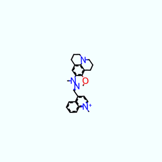 COc1c(N(C)/N=C/c2cc[n+](C)c3ccccc23)cc2c3c1CCCN3CCC2